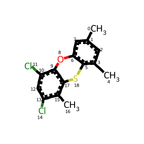 Cc1cc(C)c2c(c1)Oc1c(Cl)cc(Cl)c(C)c1S2